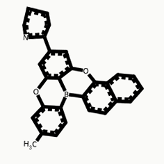 Cc1ccc2c(c1)Oc1cc(-c3ccccn3)cc3c1B2c1ccc2ccccc2c1O3